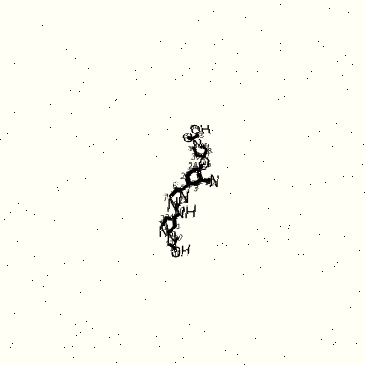 N#Cc1cc(-c2ccnc(Nc3ccnc(N4CC(O)C4)c3)n2)ccc1OC1CCN(C(=O)CO)CC1